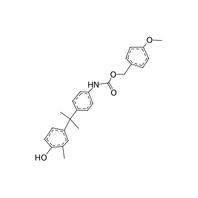 COc1ccc(COC(=O)Nc2ccc(C(C)(C)c3ccc(O)c(C)c3)cc2)cc1